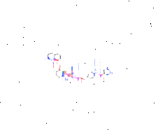 Cc1ccc2cccc(OCc3c(Cl)ccc(N(C)C(=O)CNC(=O)C=Cc4ccc(NC(=O)c5ccncc5)cc4)c3Cl)c2n1